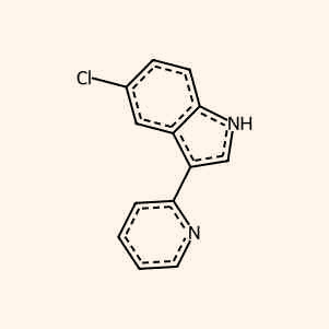 Clc1ccc2[nH]cc(-c3ccccn3)c2c1